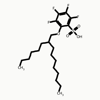 CCCCCCCCC(CCCCCC)COc1c(F)c(F)c(F)c(F)c1S(=O)(=O)O